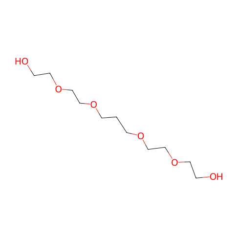 OCCOCCOCCCOCCOCCO